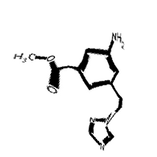 COC(=O)c1cc(N)cc(Cn2cncn2)c1